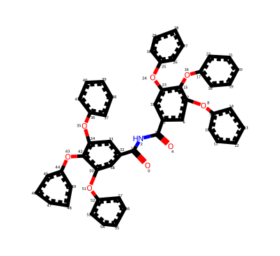 O=C(NC(=O)c1cc(Oc2ccccc2)c(Oc2ccccc2)c(Oc2ccccc2)c1)c1cc(Oc2ccccc2)c(Oc2ccccc2)c(Oc2ccccc2)c1